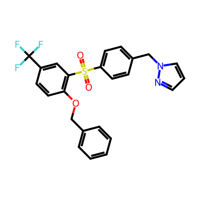 O=S(=O)(c1ccc(Cn2cccn2)cc1)c1cc(C(F)(F)F)ccc1OCc1ccccc1